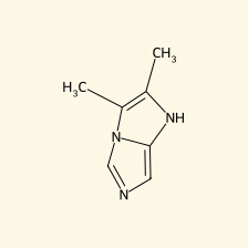 Cc1[nH]c2cncn2c1C